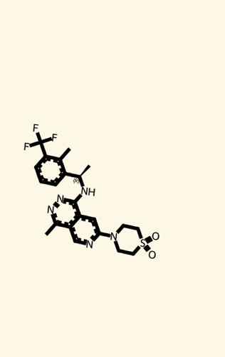 Cc1c([C@@H](C)Nc2nnc(C)c3cnc(N4CCS(=O)(=O)CC4)cc23)cccc1C(F)(F)F